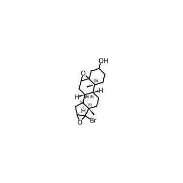 C[C@]12CC[C@@H]3[C@@H](CC4OC45CC(O)CC[C@]35C)[C@@H]1CC1OC12Br